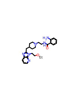 CCOCCn1c(CC2CCN(CCNC(=O)c3ccccc3N)CC2)nc2cccnc21